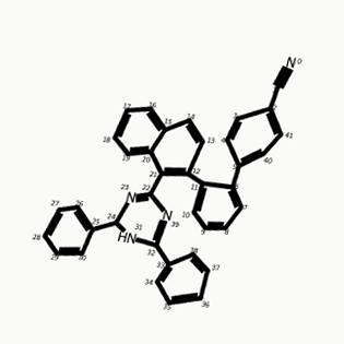 N#Cc1ccc(-c2ccccc2-c2ccc3ccccc3c2C2=NC(c3ccccc3)NC(c3ccccc3)=N2)cc1